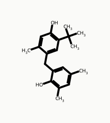 Cc1cc(C)c(O)c(Cc2cc(C(C)(C)C)c(O)cc2C)c1